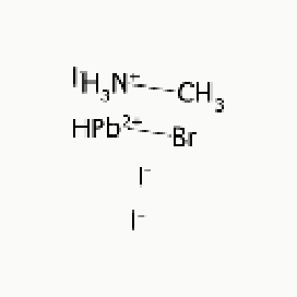 C[NH3+].[Br][PbH+2].[I-].[I-].[I-]